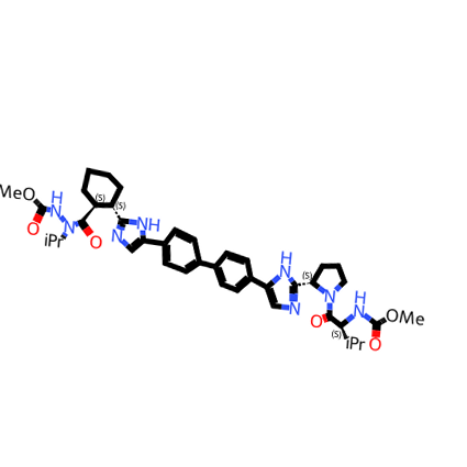 COC(=O)N[C@H](C(=O)N1CCC[C@H]1c1ncc(-c2ccc(-c3ccc(-c4cnc([C@H]5CCCC[C@@H]5C(=O)N(NC(=O)OC)C(C)C)[nH]4)cc3)cc2)[nH]1)C(C)C